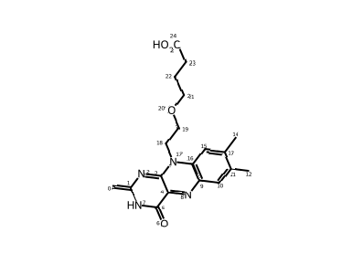 C=c1nc2c(c(=O)[nH]1)=Nc1cc(C)c(C)cc1N2CCOCCCC(=O)O